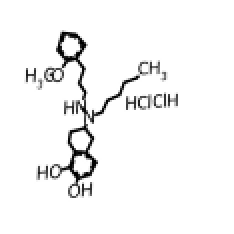 CCCCCCN(NCCCc1ccccc1OC)C1CCc2c(ccc(O)c2O)C1.Cl.Cl